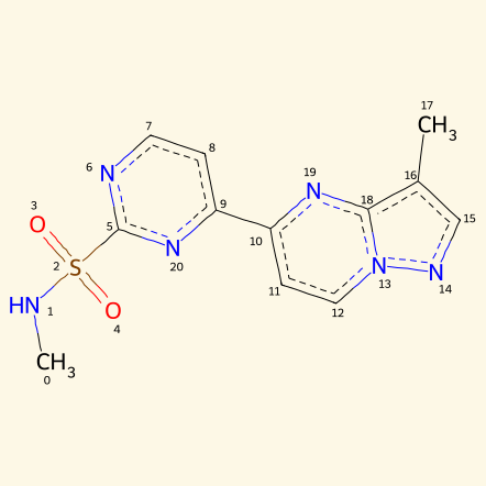 CNS(=O)(=O)c1nccc(-c2ccn3ncc(C)c3n2)n1